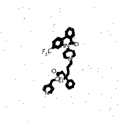 CCC(CCCN1CCC(NC(=O)c2ccccc2-c2ccc(C(F)(F)F)cc2)CC1)(CC(=O)OCc1ccncc1)c1ccccc1